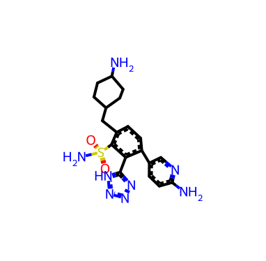 Nc1ccc(-c2ccc(CC3CCC(N)CC3)c(S(N)(=O)=O)c2-c2nnn[nH]2)cn1